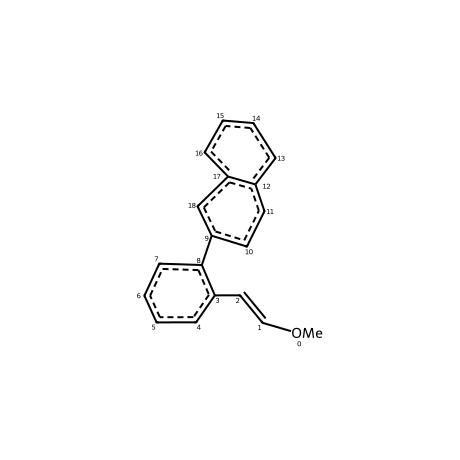 CO/C=C/c1ccccc1-c1ccc2ccccc2c1